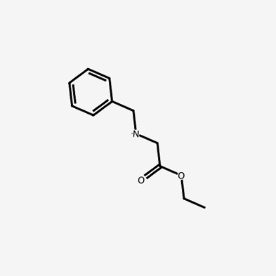 CCOC(=O)C[N]Cc1ccccc1